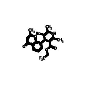 CC(=O)C1=C(C)NC(C)=C(C(=O)OCC(F)(F)F)C1c1cccc2c(=O)cc(C)oc12